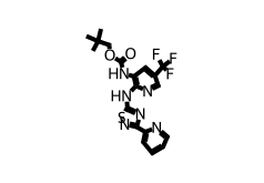 CC(C)(C)COC(=O)Nc1cc(C(F)(F)F)cnc1Nc1nc(-c2ccccn2)ns1